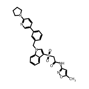 Cc1cc(NC(=O)CS(=O)(=O)c2cn(Cc3cccc(-c4ccc(N5CCCC5)nc4)c3)c3ccccc23)no1